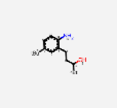 CCC(O)CCc1cc(C(C)(C)C)ccc1N